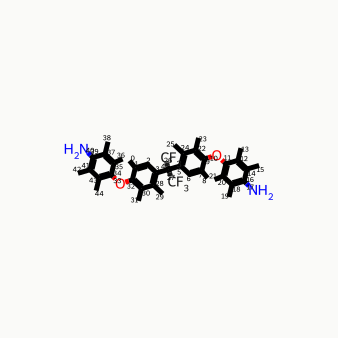 Cc1cc(C(c2cc(C)c(Oc3c(C)c(C)c(N)c(C)c3C)c(C)c2C)(C(F)(F)F)C(F)(F)F)c(C)c(C)c1Oc1c(C)c(C)c(N)c(C)c1C